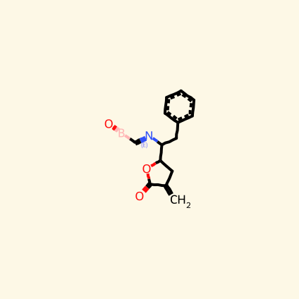 C=C1CC(C(Cc2ccccc2)/N=C/B=O)OC1=O